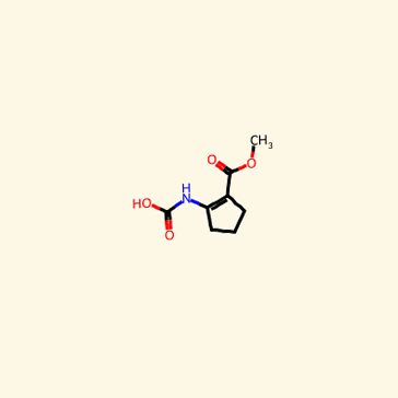 COC(=O)C1=C(NC(=O)O)CCC1